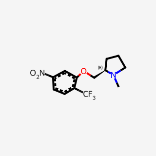 CN1CCC[C@@H]1COc1cc([N+](=O)[O-])ccc1C(F)(F)F